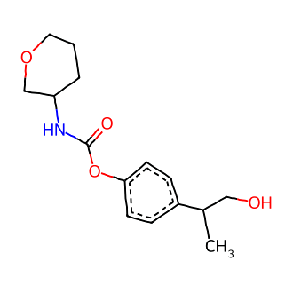 CC(CO)c1ccc(OC(=O)NC2CCCOC2)cc1